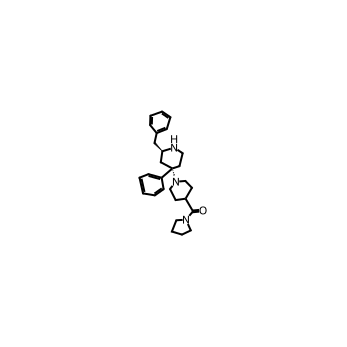 O=C(C1CCN([C@@]2(c3ccccc3)CCN[C@H](Cc3ccccc3)C2)CC1)N1CCCC1